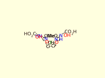 COc1nc(OCc2cccc(-c3cccc(COc4ccc(CNCC(O)CC(=O)O)c(OC)n4)c3F)c2C)ccc1CNCC(O)CC(=O)O